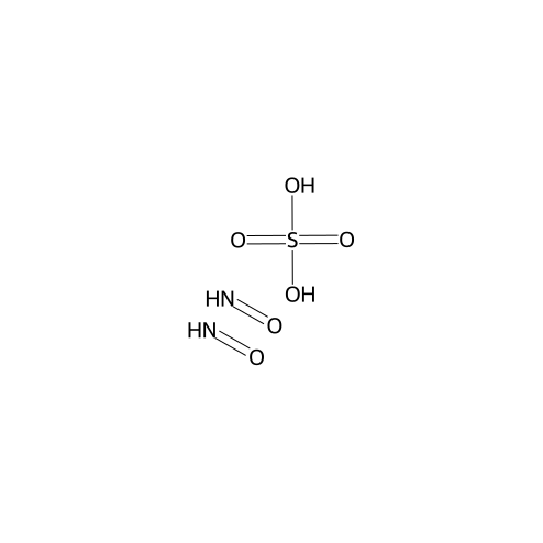 N=O.N=O.O=S(=O)(O)O